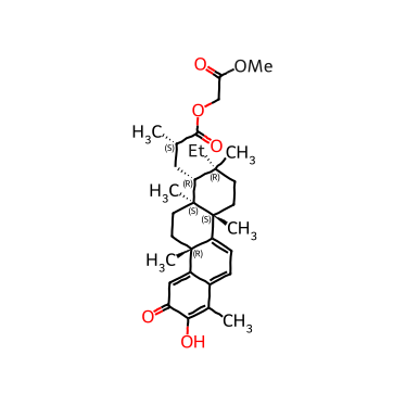 CC[C@]1(C)CC[C@]2(C)C3=CC=C4C(=CC(=O)C(O)=C4C)[C@]3(C)CC[C@@]2(C)[C@@H]1C[C@H](C)C(=O)OCC(=O)OC